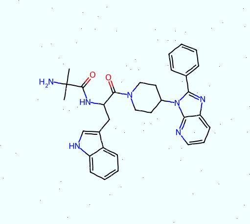 CC(C)(N)C(=O)NC(Cc1c[nH]c2ccccc12)C(=O)N1CCC(n2c(-c3ccccc3)nc3cccnc32)CC1